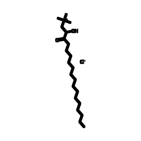 CCCCCCCCCCCCCCCC(=O)C(O)C[N+](C)(C)C.[Cl-]